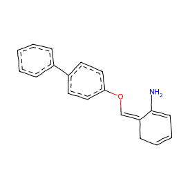 NC1=CC=CCC1=COc1ccc(-c2ccccc2)cc1